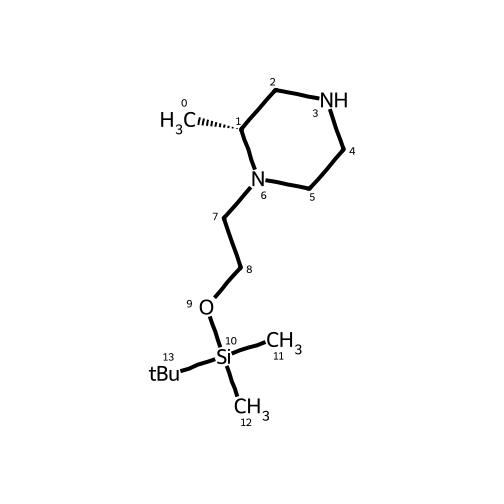 C[C@@H]1CNCCN1CCO[Si](C)(C)C(C)(C)C